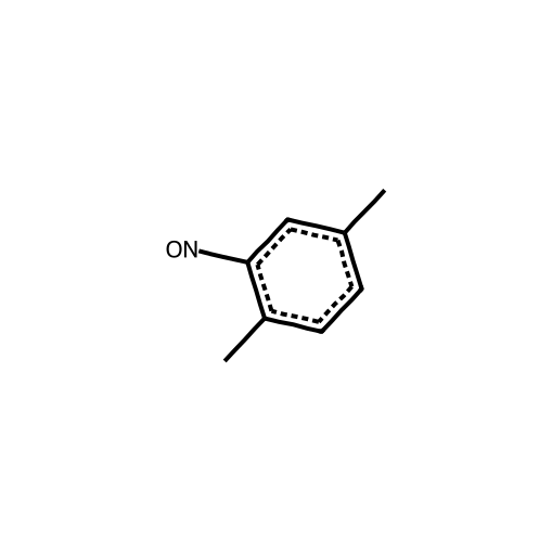 Cc1ccc(C)c(N=O)c1